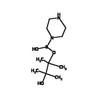 CC(C)(O)C(C)(C)OB(O)N1CCNCC1